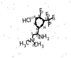 CN(C)C[C@@H](N)c1ccc(F)c(C(F)(F)F)c1.Cl